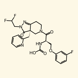 O=C(O)N[C@H](COc1cccc(F)c1)C(=O)N1CCC2=NN(CC(F)F)C(=O)[C@]2(Cc2ccccn2)C1